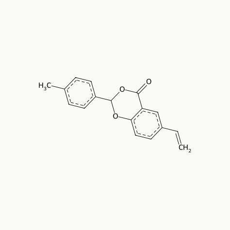 C=Cc1ccc2c(c1)C(=O)OC(c1ccc(C)cc1)O2